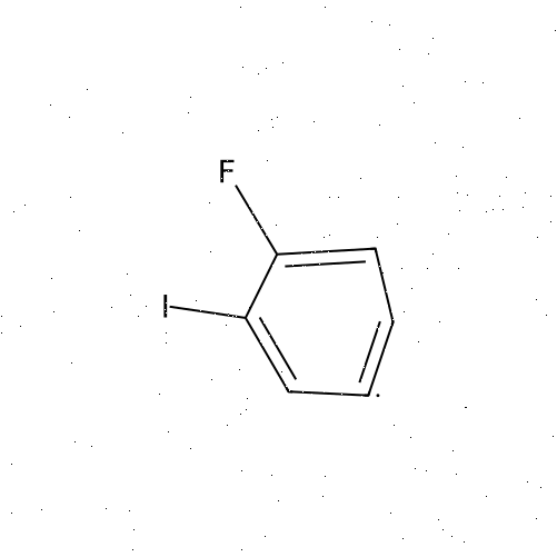 Fc1cc[c]cc1I